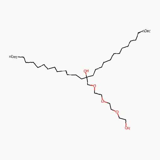 CCCCCCCCCCCCCCCCCCCCCCC(O)(CCCCCCCCCCCCCCCCCCCCCC)COCCOCCOCCO